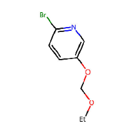 CCOCOc1ccc(Br)nc1